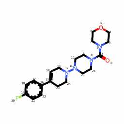 O=C(N1CCOCC1)N1CCN(N2CC=C(c3ccc(F)cc3)CC2)CC1